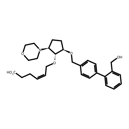 O=C(O)CC/C=C\CO[C@H]1[C@H](OCc2ccc(-c3ccccc3CO)cc2)CC[C@@H]1N1CCOCC1